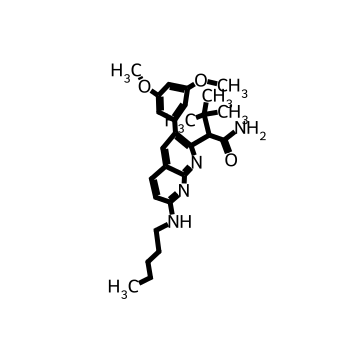 CCCCCNc1ccc2cc(-c3cc(OC)cc(OC)c3)c(C(C(N)=O)C(C)(C)C)nc2n1